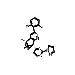 CC1(C)[C@H]2CC[C@]1(c1ccnc(-n3cccn3)n1)c1nnc(-c3c(F)cccc3F)cc12